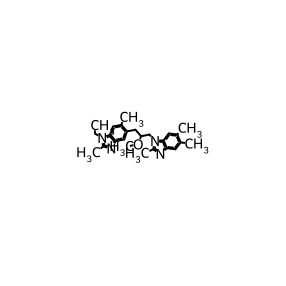 CCn1c(C)nc2cc(CC(Cn3c(C)nc4cc(C)c(C)cc43)OC)c(C)cc21